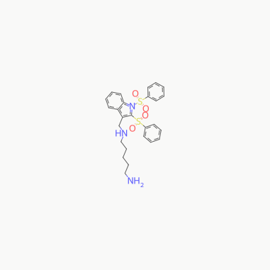 NCCCCCNCc1c(S(=O)(=O)c2ccccc2)n(S(=O)(=O)c2ccccc2)c2ccccc12